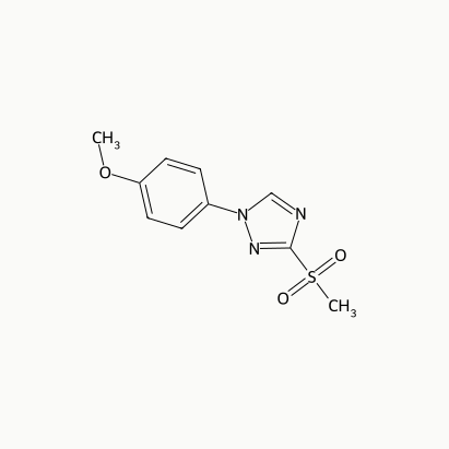 COc1ccc(-n2cnc(S(C)(=O)=O)n2)cc1